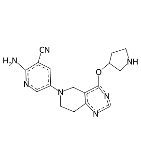 N#Cc1cc(N2CCc3ncnc(OC4CCNC4)c3C2)cnc1N